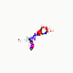 CC[C@H]1OC(=O)[C@H](C)C[C@H](C)[C@@H](O[C@H]2C[C@@H](N(C)CC/C(=C/N[C@H](CF)[C@H](OC)c3ccc(CN4C(=O)c5ccccc5C4=O)cc3)N=N)C[C@@H](C)O2)[C@](C)(O)C[C@@H](C)CN(C)[C@H](C)[C@@H](O)[C@]1(C)O